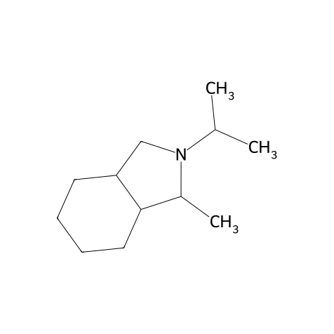 CC(C)N1CC2CCCCC2C1C